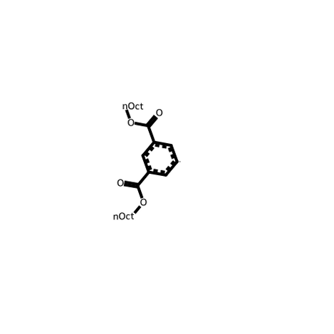 CCCCCCCCOC(=O)c1c[c]cc(C(=O)OCCCCCCCC)c1